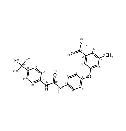 Cc1cc(Oc2ccc(NC(=O)Nc3ccc(C(F)(F)F)cc3)cc2)cc(C(N)=O)n1